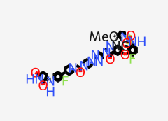 CO[C@H]1CCN(S(=O)(=O)Nc2ccc(F)c(Oc3ccc4ncn(-c5cnc(N6CCN(C(=O)CN7CCC(c8ccc(N[C@H]9CCC(=O)NC9=O)cc8F)CC7)CC6)nc5)c(=O)c4c3)c2C#N)C1